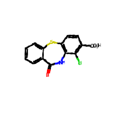 O=C1Nc2c(ccc(C(=O)O)c2Cl)Sc2ccccc21